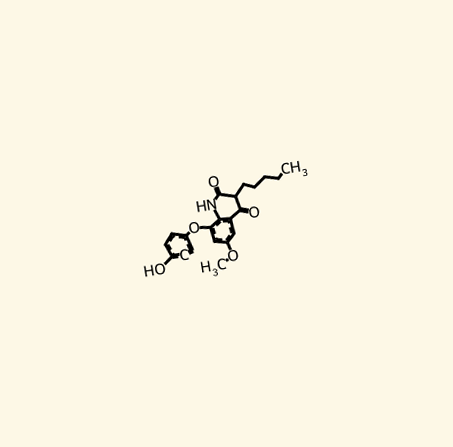 CCCCCC1C(=O)Nc2c(Oc3ccc(O)cc3)cc(OC)cc2C1=O